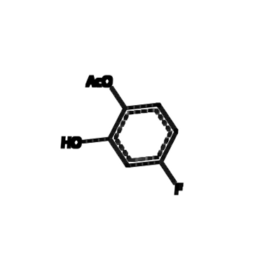 CC(=O)Oc1ccc(F)cc1O